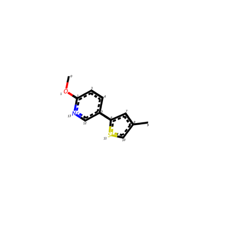 COc1ccc(-c2cc(C)cs2)cn1